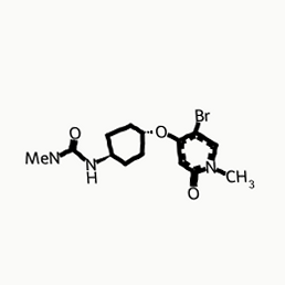 CNC(=O)N[C@H]1CC[C@H](Oc2cc(=O)n(C)cc2Br)CC1